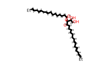 CCC=CCC=CCC=CCCCCCCCC(=O)OC(C(=O)CCCCCCCC=CCC=CCC=CCC)C(O)CO